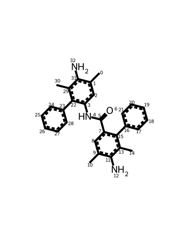 Cc1cc(NC(=O)c2cc(C)c(N)c(C)c2-c2ccccc2)c(-c2ccccc2)c(C)c1N